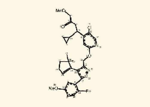 COCC(=O)CC(c1cc(OCc2noc(-c3cc(OC)ccc3F)c2C2=CCCC2(C)C)ncc1Cl)C1CC1